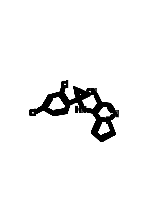 [C-]#[N+]c1cnn2cccc2c1NC1(c2ccc(Cl)cc2Cl)CC1